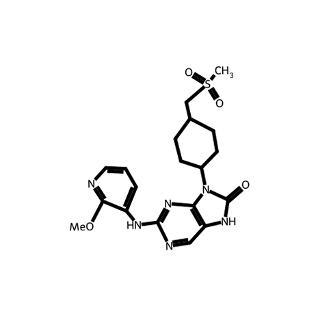 COc1ncccc1Nc1ncc2[nH]c(=O)n(C3CCC(CS(C)(=O)=O)CC3)c2n1